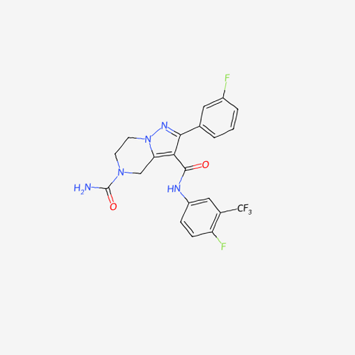 NC(=O)N1CCn2nc(-c3cccc(F)c3)c(C(=O)Nc3ccc(F)c(C(F)(F)F)c3)c2C1